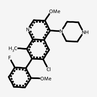 COc1cccc(F)c1-c1c(Cl)cc2c(N3CCNCC3)c(OC)cnc2c1C